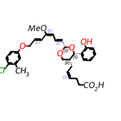 COC(/C=C/COc1ccc(Cl)c(C)c1)=C/C=C/[C@H]1OC[C@@H](C/C=C\CCC(=O)O)[C@@H](c2ccccc2O)O1